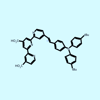 CC(C)(C)c1ccc(N(c2ccc(/C=C/c3ccnc(-c4cc(C(=O)O)cc(-c5cc(C(=O)O)ccn5)n4)c3)cc2)c2ccc(C(C)(C)C)cc2)cc1